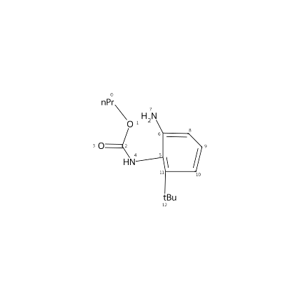 CCCOC(=O)Nc1c(N)cccc1C(C)(C)C